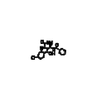 O=C(Oc1n[nH]c(=O)c2nc3cc(Cl)ccc3c(O)c12)c1ccccc1